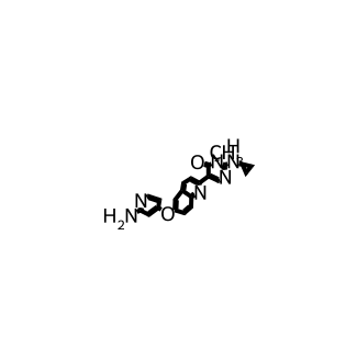 Cn1c(NC2CC2)ncc(-c2ccc3cc(Oc4ccnc(N)c4)ccc3n2)c1=O